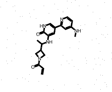 C=CC(=O)N1CC(C(C)Nc2cc(-c3cc(NC)ccn3)c[nH]c2=O)C1